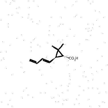 C=CC=C[C@@H]1[C@@H](C(=O)O)C1(C)C